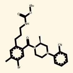 Cc1cc(CCCNC(=O)OC(C)(C)C)c(C(=O)N2CCN(c3ccccc3C#N)C[C@@H]2C)cc1Br